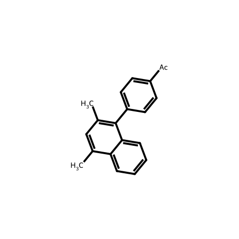 CC(=O)c1ccc(-c2c(C)cc(C)c3ccccc23)cc1